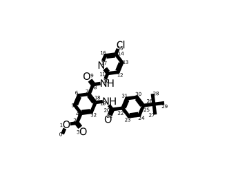 COC(=O)c1ccc(C(=O)Nc2ccc(Cl)cn2)c(NC(=O)c2ccc(C(C)(C)C)cc2)c1